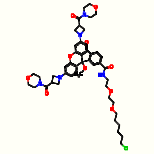 COC1(c2cc(C(=O)NCCOCCOCCCCCCCl)ccc2C=O)c2ccc(N3CC(C(=O)N4CCOCC4)C3)cc2Oc2cc(N3CC(C(=O)N4CCOCC4)C3)ccc21